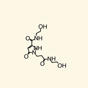 O=C(CCn1[nH]c(C(=O)NCCO)cc1=O)NCCO